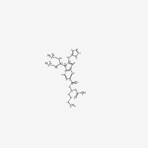 CCCCC(CC(=O)O)CC(=O)c1ccc2c(c1)nc(Cc1cccs1)n2C(CC)CC